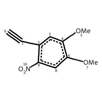 C#Cc1cc(OC)c(OC)cc1[N+](=O)[O-]